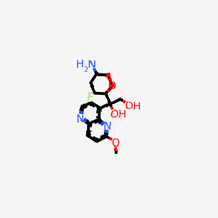 COc1ccc2ncc(F)c(C(O)(CO)C34CCC(N)(CC3)CO4)c2n1